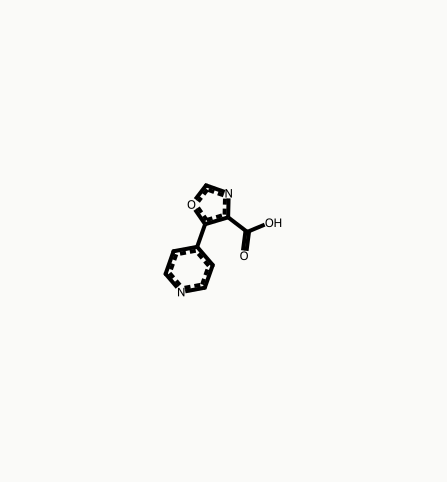 O=C(O)c1ncoc1-c1ccncc1